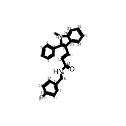 Cn1c(-c2ccccc2)c(/C=C/C(=O)NCc2ccc(F)cc2)c2ccccc21